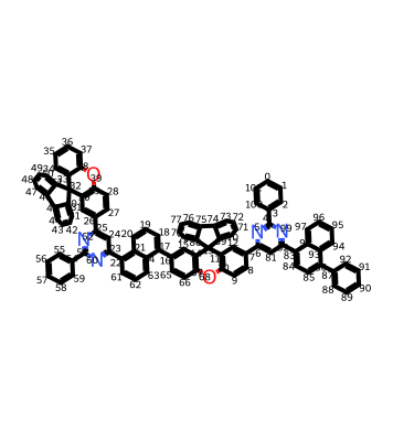 c1ccc(-c2nc(-c3ccc4c(c3)C3(c5cc(-c6cccc7c(-c8cc(-c9ccc%10c(c9)C9(c%11ccccc%11O%10)c%10ccccc%10-c%10ccccc%109)nc(-c9ccccc9)n8)cccc67)ccc5O4)c4ccccc4-c4ccccc43)cc(-c3ccc(-c4ccccc4)c4ccccc34)n2)cc1